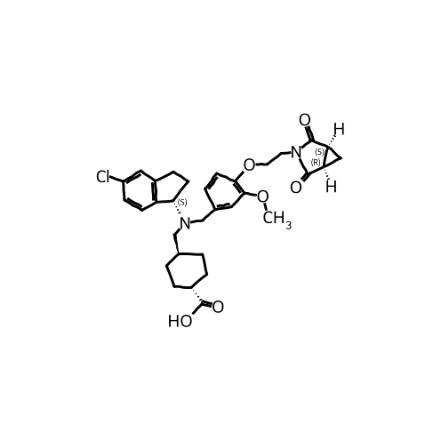 COc1cc(CN(C[C@H]2CC[C@H](C(=O)O)CC2)[C@H]2CCc3cc(Cl)ccc32)ccc1OCCN1C(=O)[C@H]2C[C@H]2C1=O